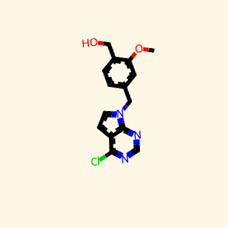 COc1cc(Cn2ccc3c(Cl)ncnc32)ccc1CO